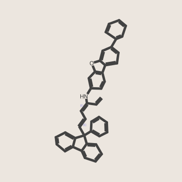 C=C/C(=C\C=C\C1(c2ccccc2)c2ccccc2-c2ccccc21)Nc1ccc2c(c1)oc1cc(-c3ccccc3)ccc12